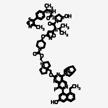 CCc1cccc2cc(O)cc(-c3ncc4c(N5CC6CCC(C5)N6)nc(OC[C@@]56CCCN5[C@H](COC(=O)N5CCC(Oc7cc([C@H](C(=O)N8C[C@H](O)C[C@H]8C(=O)N[C@@H](C)c8ccc(-c9scnc9C)cc8)C(C)C)on7)CC5)CC6)nc4c3F)c12